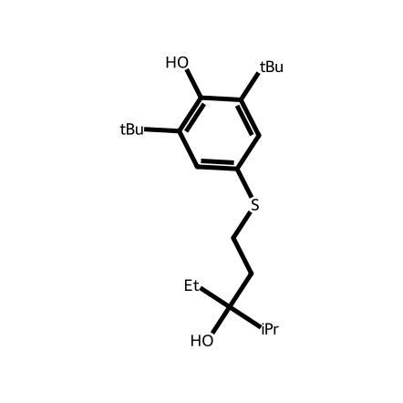 CCC(O)(CCSc1cc(C(C)(C)C)c(O)c(C(C)(C)C)c1)C(C)C